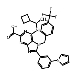 C[C@@H](Nc1nc(C(=O)O)nc2nc(-c3cccc(-n4cccc4)c3)n(Cc3ccc(C(F)(F)F)cc3)c12)C1CCC1